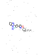 C[C@]1(C(=O)O)CC[C@@H](Oc2ccc(-c3ccc(-c4nc5ccccc5[nH]4)c(F)c3)cn2)CC1